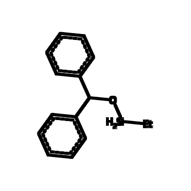 CC[SiH2]OC(c1ccccc1)c1ccccc1